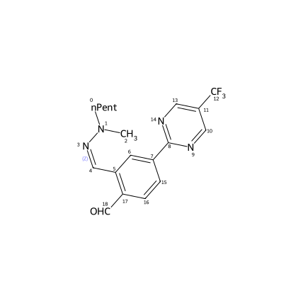 CCCCCN(C)/N=C\c1cc(-c2ncc(C(F)(F)F)cn2)ccc1C=O